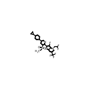 CCS(=O)(=O)c1cc(-c2ccc(C3CC3)cc2)cnc1-c1nc2cc(C(F)(F)F)cn(CC(F)F)c-2c1F